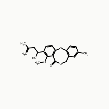 C=C(C)CC(O)c1ccc2c(c1OC)C(=O)OCc1cc(C)ccc1S2